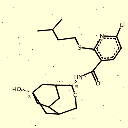 CC(C)CCSc1nc(Cl)ccc1C(=O)N[C@@H]1CCC2C[C@@]3(O)CC2CC1C3